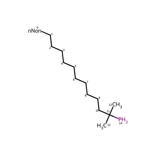 CCCCCCCCCCCCCCCCCCCC(C)(C)P